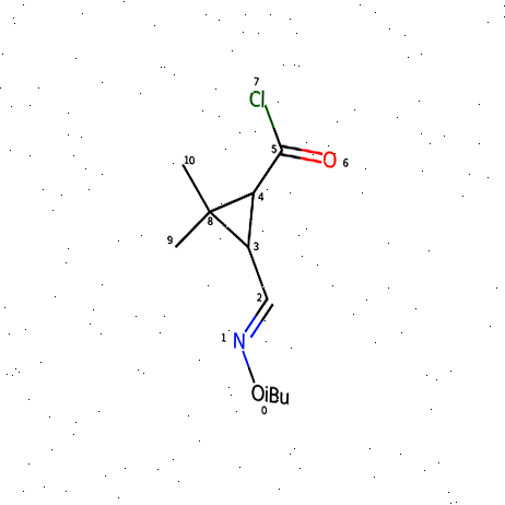 CC(C)CON=CC1C(C(=O)Cl)C1(C)C